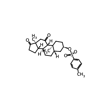 Cc1ccc(S(=O)(=O)O[C@@H]2CC[C@@]3(C)[C@@H](CC[C@@H]4[C@@H]3C(=O)C[C@]3(C)C(=O)CC[C@@H]43)C2)cc1